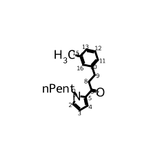 CCCCCn1cccc1C(=O)CCc1cccc(C)c1